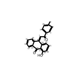 Cc1ccc(C(=O)C=C2c3ccccc3C(=O)c3c(O)cccc32)cc1